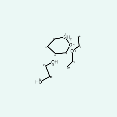 C1CC[SiH2]OC1.CCOCC.OCCO